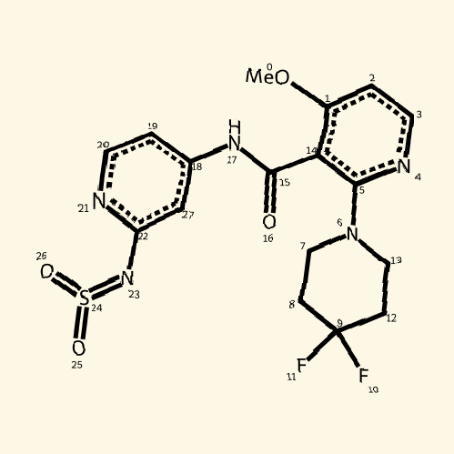 COc1ccnc(N2CCC(F)(F)CC2)c1C(=O)Nc1ccnc(N=S(=O)=O)c1